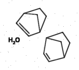 C1=CC2CCC1C2.C1=CC2CCC1C2.O